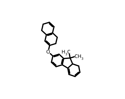 CC1(C)c2cc(OC3=CC4=C(C=CCC4)CC3)ccc2C2=CC=CCC21